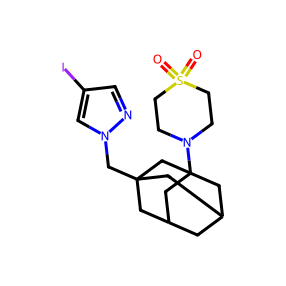 O=S1(=O)CCN(C23CC4CC(CC(Cn5cc(I)cn5)(C4)C2)C3)CC1